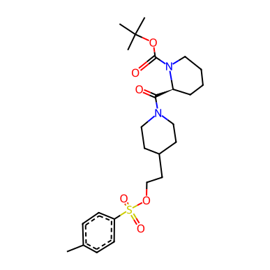 Cc1ccc(S(=O)(=O)OCCC2CCN(C(=O)[C@@H]3CCCCN3C(=O)OC(C)(C)C)CC2)cc1